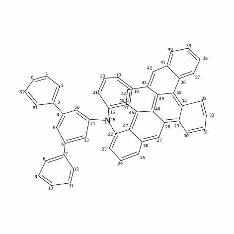 c1ccc(-c2cc(-c3ccccc3)cc(N(c3ccccc3)c3cccc4cc5c6ccccc6c6c7ccccc7cc7ccc(c34)c5c76)c2)cc1